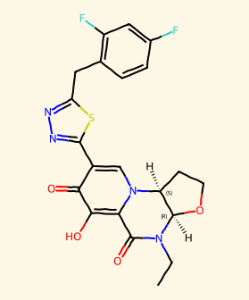 CCN1C(=O)c2c(O)c(=O)c(-c3nnc(Cc4ccc(F)cc4F)s3)cn2[C@H]2CCO[C@H]21